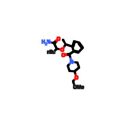 CCCCC(O[C@@H](C)c1ccccc1C(=O)N1CCC(OCOC)CC1)C(N)=O